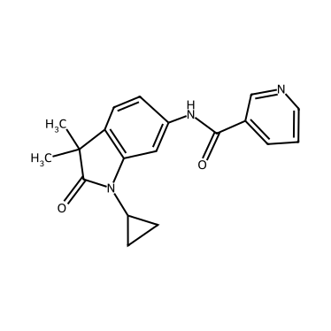 CC1(C)C(=O)N(C2CC2)c2cc(NC(=O)c3cccnc3)ccc21